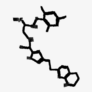 Cc1cc(C)c(SNC(CNC(=O)c2cc(CCc3ccc4c(n3)NCCC4)c[nH]2)C(=O)O)c(C)c1